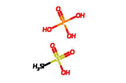 O=P(O)(O)O.O=S(=O)(O)[SiH3]